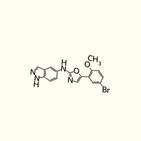 COc1ccc(Br)cc1-c1cnc(Nc2ccc3[nH]ncc3c2)o1